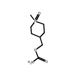 CP1(=O)CCC(COC(N)=O)CC1